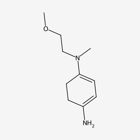 COCCN(C)C1=CC=C(N)CC1